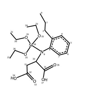 CCCc1ccccc1N(C(CC(=O)O)C(=O)O)[Si](OCC)(OCC)OCC